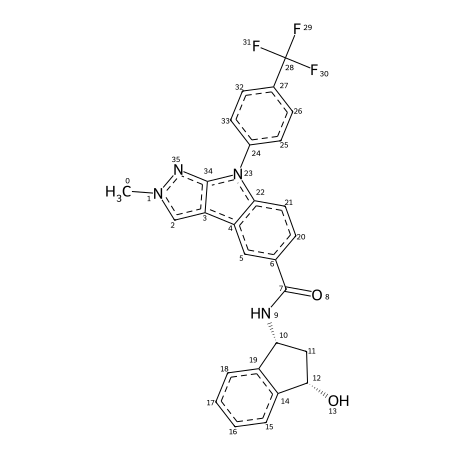 Cn1cc2c3cc(C(=O)N[C@@H]4C[C@H](O)c5ccccc54)ccc3n(-c3ccc(C(F)(F)F)cc3)c2n1